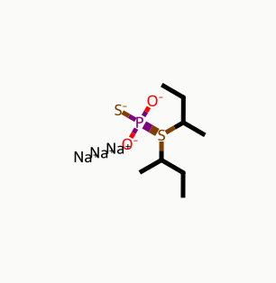 CCC(C)S(C(C)CC)=P([O-])([O-])[S-].[Na+].[Na+].[Na+]